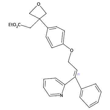 CCOC(=O)CC1(c2ccc(OC/C=C(/c3ccccc3)c3ccccn3)cc2)COC1